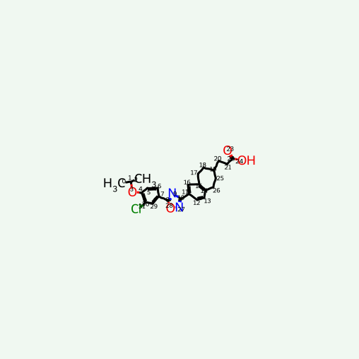 CC(C)Oc1ccc(-c2nc(-c3ccc4c(c3)CCC(CCC(=O)O)CC4)no2)cc1Cl